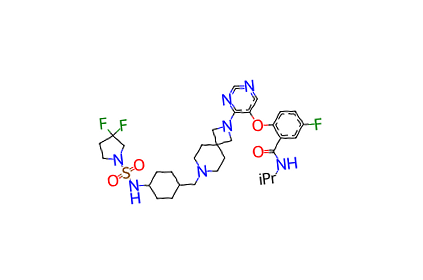 CC(C)NC(=O)c1cc(F)ccc1Oc1cncnc1N1CC2(CCN(CC3CCC(NS(=O)(=O)N4CCC(F)(F)C4)CC3)CC2)C1